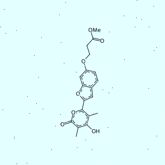 COC(=O)CCOc1ccc2cc(-c3oc(=O)c(C)c(O)c3C)oc2c1